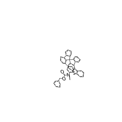 O=C(OCc1ccccc1)N(I)c1cccc(-c2cccc3c2C2(c4ccccc4-3)c3ccccc3-c3c2ccc2sc4ccccc4c32)c1